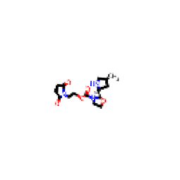 CC1CN[C@H](C2OCCN2C(=O)OCCN2C(=O)C=CC2=O)C1